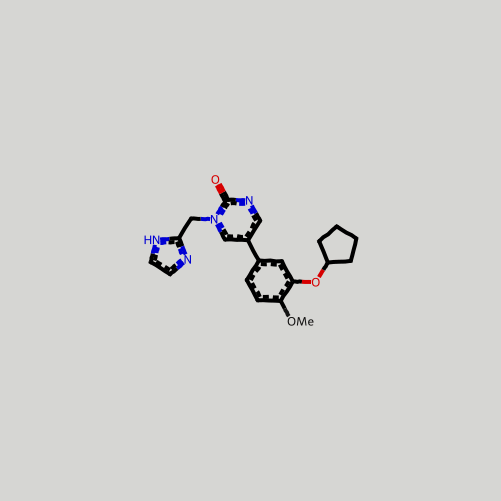 COc1ccc(-c2cnc(=O)n(Cc3ncc[nH]3)c2)cc1OC1CCCC1